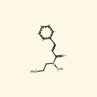 COCCN([C]=O)C(=O)/C=C/c1ccccc1